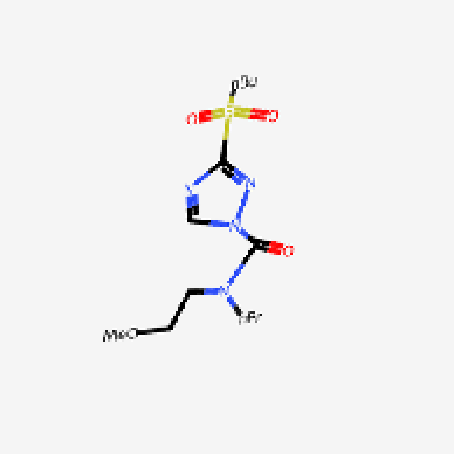 CCCCS(=O)(=O)c1ncn(C(=O)N(CCC)CCOC)n1